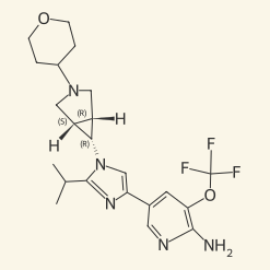 CC(C)c1nc(-c2cnc(N)c(OC(F)(F)F)c2)cn1[C@@H]1[C@@H]2CN(C3CCOCC3)C[C@@H]21